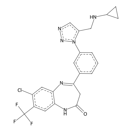 O=C1CC(c2cccc(-n3nncc3CNC3CC3)c2)=Nc2cc(Cl)c(C(F)(F)F)cc2N1